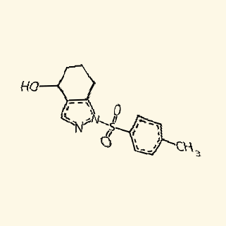 Cc1ccc(S(=O)(=O)n2ncc3c2CCCC3O)cc1